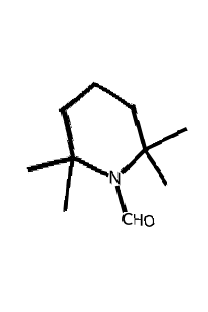 CC1(C)CCCC(C)(C)N1C=O